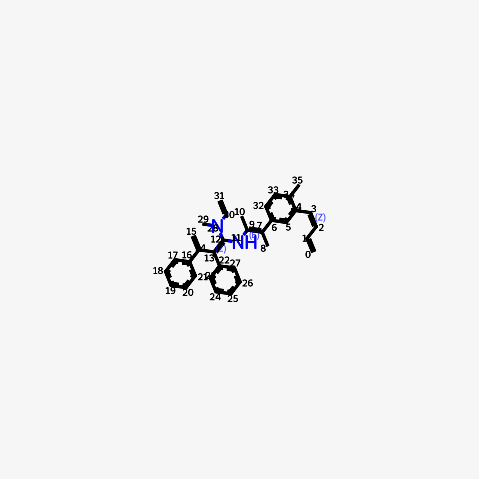 C=C/C=C\c1cc(/C(C)=C(\C)N/C(=C(/C(=C)c2ccccc2)c2ccccc2)N(C)C=C)ccc1C